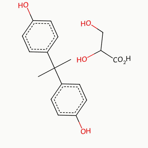 CC(C)(c1ccc(O)cc1)c1ccc(O)cc1.O=C(O)C(O)CO